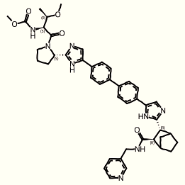 COC(=O)N[C@H](C(=O)N1CCC[C@H]1c1ncc(-c2ccc(-c3ccc(-c4cnc([C@@H]5C6CCC(C6)[C@H]5C(=O)NCc5cccnc5)[nH]4)cc3)cc2)[nH]1)[C@@H](C)OC